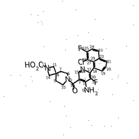 Nc1c(C(=O)N2CCC3(CC2)CN(C(=O)O)C3)cnc(-c2cccc3ccc(F)c(Cl)c23)c1F